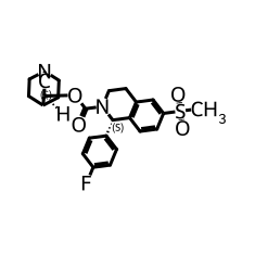 CS(=O)(=O)c1ccc2c(c1)CCN(C(=O)O[C@@H]1CN3CCC1CC3)[C@H]2c1ccc(F)cc1